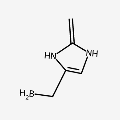 BCC1=CNC(=C)N1